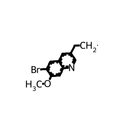 [CH2]Cc1cnc2cc(OC)c(Br)cc2c1